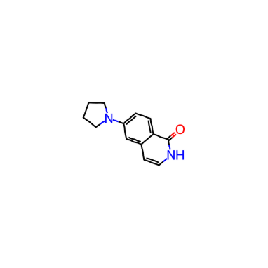 O=c1[nH]ccc2cc(N3CCCC3)ccc12